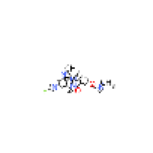 Cc1ccc2c(C3(NC(=O)c4cc(OCC5CCN5C)ccc4C)CC3)cc(N3CC(F)C3)cc2n1